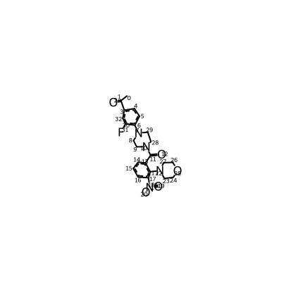 CC(=O)c1ccc(N2CCN(C(=O)c3cccc([N+](=O)[O-])c3N3CCOCC3)CC2)c(F)c1